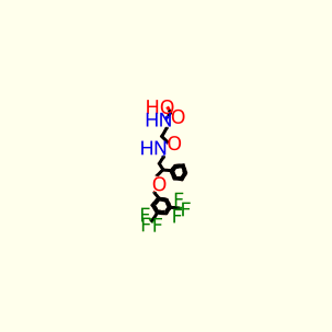 O=C(O)NCCC(=O)NCCC(COCc1cc(C(F)(F)F)cc(C(F)(F)F)c1)c1ccccc1